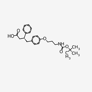 CC(C)(C)OC(=O)NCCCOc1ccc(C[C@@H](CC(=O)O)c2ccccc2)cc1